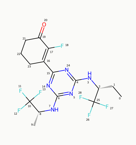 CC[C@@H](Nc1nc(N[C@H](C)C(F)(F)F)nc(C2=C(F)C(=O)CCC2)n1)C(F)(F)F